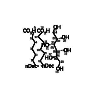 CCCCCCCCCCCCCCCC(=O)O.CCCCCCCCCCCCCCCC(=O)O.OC[C@@H](O)[C@@H](O)[C@H](O)[C@@H](O)CO